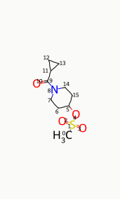 CS(=O)(=O)OC1CCN(C(=O)C2CC2)CC1